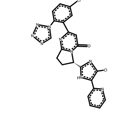 O=c1cc(-c2cc(Cl)ccc2-n2cnnn2)nc2n1[C@H](c1nc(Cl)c(-c3cc[c]cn3)[nH]1)CC2